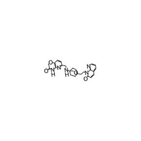 O=C1COc2ccc(CNC34CCC(CCn5c(=O)ccc6cccnc65)(CC3)OC4)nc2N1